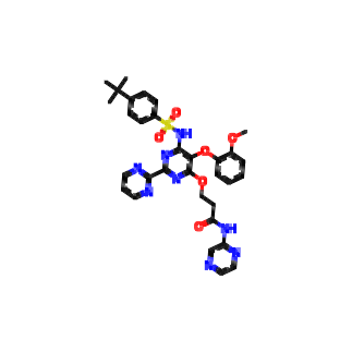 COc1ccccc1Oc1c(NS(=O)(=O)c2ccc(C(C)(C)C)cc2)nc(-c2ncccn2)nc1OCCC(=O)Nc1cnccn1